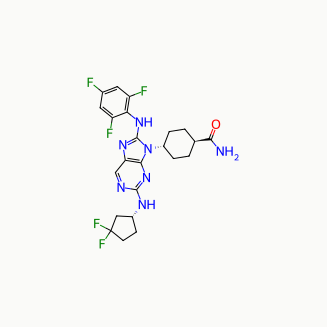 NC(=O)[C@H]1CC[C@H](n2c(Nc3c(F)cc(F)cc3F)nc3cnc(N[C@@H]4CCC(F)(F)C4)nc32)CC1